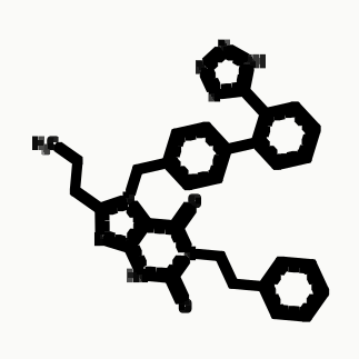 CCCc1nc2[nH]c(=O)n(CCc3ccccc3)c(=O)c2n1Cc1ccc(-c2ccccc2-c2nnn[nH]2)cc1